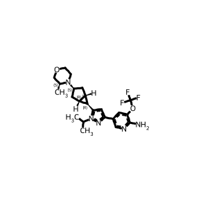 CC(C)n1nc(-c2cnc(N)c(OC(F)(F)F)c2)cc1[C@H]1[C@@H]2C[C@@H](N3CCOC[C@@H]3C)C[C@@H]21